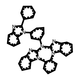 c1ccc(-c2nc3ccccc3n2-c2cccc(-n3c4nc5ccccc5n4c4ccccc4n4c5ccccc5nc34)c2)cc1